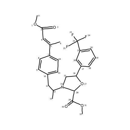 COC(=O)/C=C(\C)c1ccc(CC(C)N2CC(c3cccc(C(F)(F)F)c3)OC2C(=O)OC)cc1